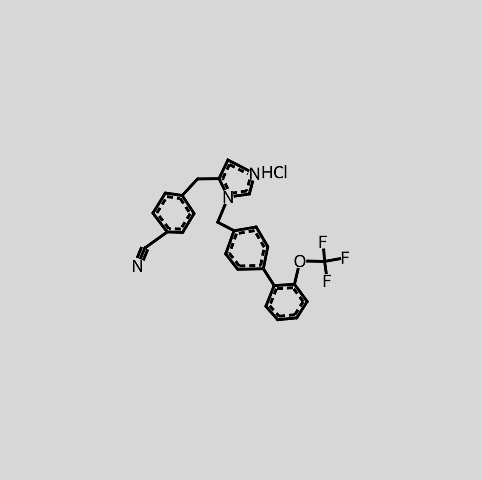 Cl.N#Cc1ccc(Cc2cncn2Cc2ccc(-c3ccccc3OC(F)(F)F)cc2)cc1